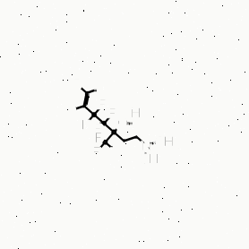 COC(CCN(C)C)(C(F)(F)F)C(F)(F)C(F)(F)C(F)=C(F)F